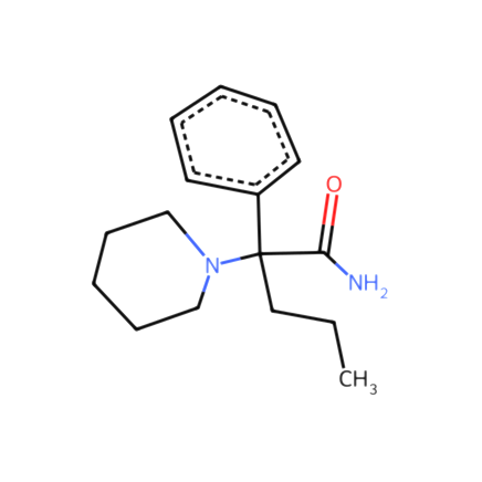 CCCC(C(N)=O)(c1ccccc1)N1CCCCC1